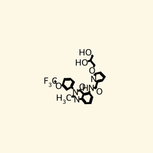 Cc1nc2cccc(NC(=O)c3cccc(OCC(O)CO)n3)c2c(=O)n1-c1cccc(OC(F)(F)F)c1